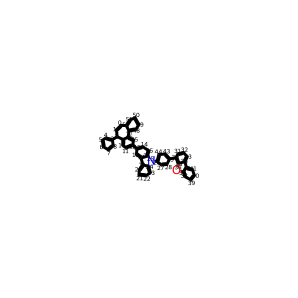 C1=CC(c2ccccc2)c2ccc(-c3ccc4c(c3)c3ccccc3n4-c3ccc(-c4cccc5c4oc4ccccc45)cc3)cc2-c2ccccc21